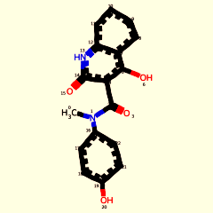 CN(C(=O)c1c(O)c2ccccc2[nH]c1=O)c1ccc(O)cc1